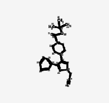 [C-]#[N+]Cn1cc(N2CCN(C(=O)OC(C)(C)C)CC2)c(-c2ccccc2)n1